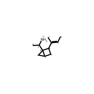 C/C=C(\C)C1CC2CC21C(C)N